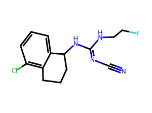 N#CN=C(NCCF)NC1CCCc2c(Cl)cccc21